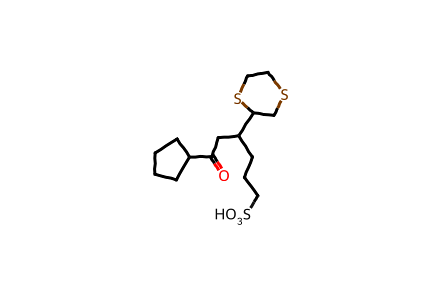 O=C(CC(CCCS(=O)(=O)O)C1CSCCS1)C1CCCC1